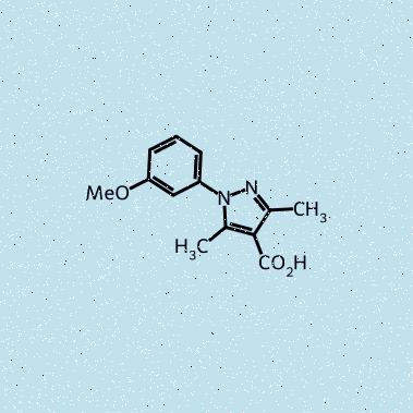 COc1cccc(-n2nc(C)c(C(=O)O)c2C)c1